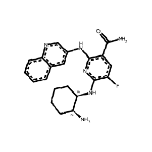 NC(=O)c1cc(F)c(N[C@@H]2CCCC[C@@H]2N)nc1Nc1cnc2ccccc2c1